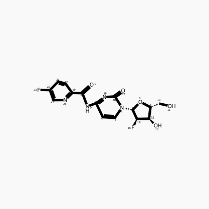 O=C(Nc1ccn([C@@H]2O[C@H](CO)[C@@H](O)[C@H]2F)c(=O)n1)c1ccc(F)cn1